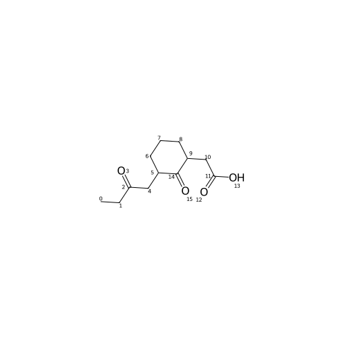 CCC(=O)CC1CCCC(CC(=O)O)C1=O